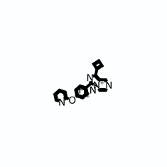 N[N+]12C=CN=CC1=C(C1=CC=C1)N=C2c1ccc(Oc2ccccn2)cc1